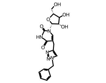 O=c1[nH]c(=O)n([C@@H]2O[C@H](CO)C(O)[C@@H]2O)cc1Cc1cn(Cc2ccccc2)nn1